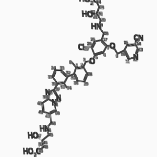 Cc1c(COc2cc(OCc3cncc(C#N)c3)c(CNC[C@@H](O)CC(=O)O)cc2Cl)cccc1-c1cccc(-c2nc3ccc(CNC[C@@H](O)CC(=O)O)cn3n2)c1C